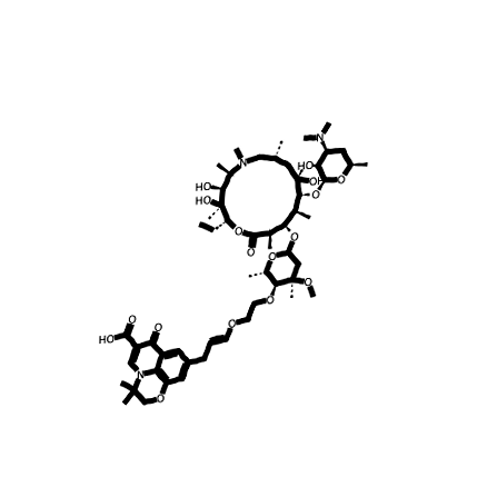 CC[C@H]1OC(=O)[C@H](C)[C@@H](OC2C[C@@](C)(OC)[C@@H](OCCOC=CCc3cc4c5c(c3)c(=O)c(C(=O)O)cn5C(C)(C)CO4)[C@H](C)O2)[C@H](C)[C@@H](O[C@@H]2O[C@H](C)C[C@H](N(C)C)[C@H]2O)[C@](C)(O)C[C@@H](C)CN(C)[C@H](C)[C@H](O)[C@]1(C)O